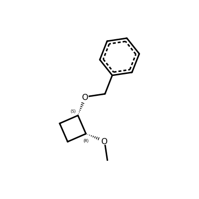 CO[C@@H]1CC[C@@H]1OCc1ccccc1